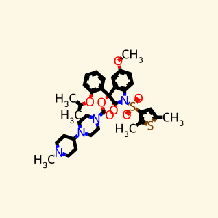 COc1ccc2c(c1)C(OC(=O)N1CCN(C3CCN(C)CC3)CC1)(c1ccccc1OC(C)C)C(=O)N2S(=O)(=O)c1cc(C)sc1C